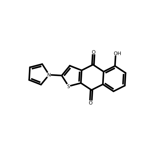 O=C1c2cccc(O)c2C(=O)c2cc(-n3cccc3)sc21